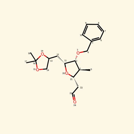 C[C@@H]1[C@@H](OCc2ccccc2)[C@@H](CC2COC(C)(C)O2)O[C@H]1CC=O